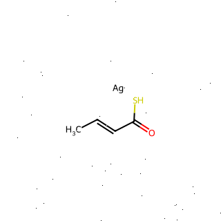 CC=CC(=O)S.[Ag]